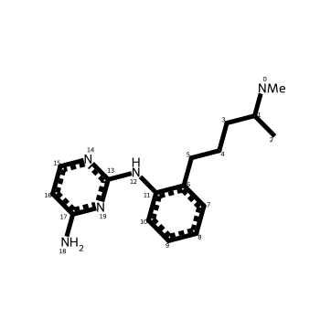 CNC(C)CCCc1ccccc1Nc1nccc(N)n1